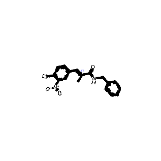 C/C(=C\c1ccc(Cl)c([N+](=O)[O-])c1)C(=O)NCc1ccccc1